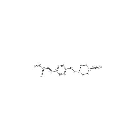 CCCCCCC[C@H]1CC[C@H](COc2ccc(/C=C/C(=O)OC)cc2)CC1